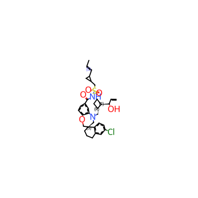 C=CC(O)[C@@H]1CC[C@H]1CN1C[C@@]2(CCCc3cc(Cl)ccc32)COc2ccc(C(=O)NS(=O)(=O)CC3CC3/C=C/C)cc21